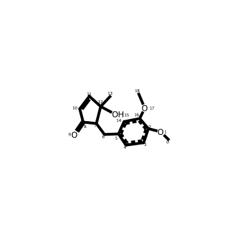 COc1ccc(CC2C(=O)C=CC2(C)O)cc1OC